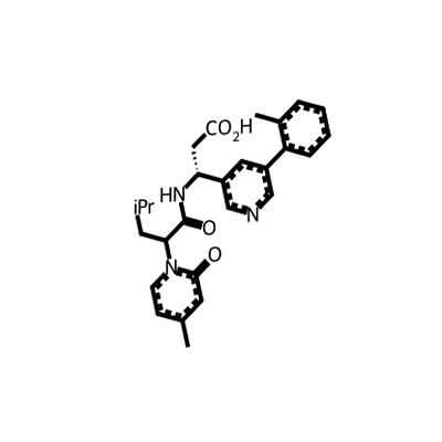 Cc1ccn(C(CC(C)C)C(=O)N[C@H](CC(=O)O)c2cncc(-c3ccccc3C)c2)c(=O)c1